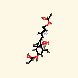 CC(=O)OC/C=C(C)/C=C/C1(O)C(C)CC(OC(C)=O)CC1(C)C